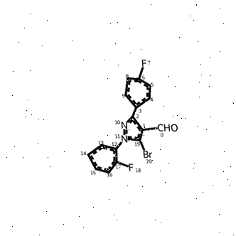 O=Cc1c(-c2ccc(F)cc2)nn(-c2ccccc2F)c1Br